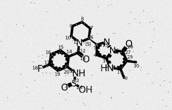 Cc1[nH]c2cc([C@@H]3CCCCN3C(=O)c3ccc(F)cc3NS(=O)O)nn2c(=O)c1C